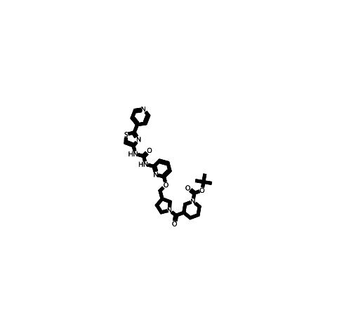 CC(C)(C)OC(=O)N1CCCC(C(=O)N2CCC(COc3cccc(NC(=O)Nc4csc(-c5ccncc5)n4)n3)C2)C1